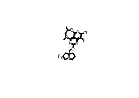 CC1CN(C)c2nc(OC[C@@]34CCCN3C[C@H](F)C4)nc3c(F)c(Cl)nc(c23)O1